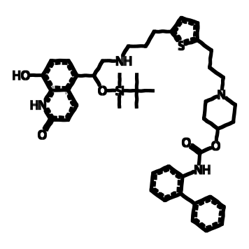 CC(C)(C)[Si](C)(C)OC(CNCCCc1ccc(CCCN2CCC(OC(=O)Nc3ccccc3-c3ccccc3)CC2)s1)c1ccc(O)c2[nH]c(=O)ccc12